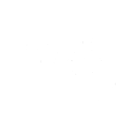 CC(C)CCCC(C(=O)O)C(O)(CCCC(C)C)C(=O)O